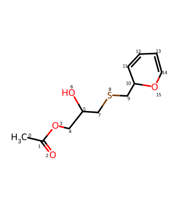 CC(=O)OCC(O)CSCC1C=CC=CO1